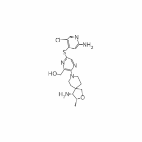 C[C@@H]1OCC2(CCN(c3ncc(Sc4cc(N)ncc4Cl)nc3CO)CC2)[C@@H]1N